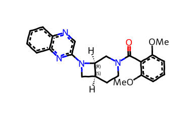 COc1cccc(OC)c1C(=O)N1CC[C@H]2CN(c3cnc4ccccc4n3)[C@H]2C1